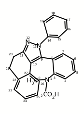 CN(C(=O)O)c1ccccc1-c1c2c(nn1-c1ccccc1)CCc1ccccc1-2